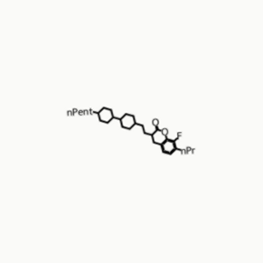 CCCCCC1CCC(C2CCC(CCC3Cc4ccc(CCC)c(F)c4OC3=O)CC2)CC1